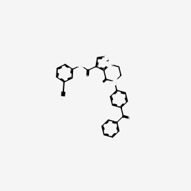 N#Cc1cccc(NC(=O)c2cnn3c2C(=O)N(c2ccc(C(=O)c4ccccc4)cc2)CC3)c1